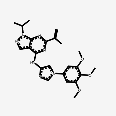 C=C(C)c1nc(Nc2cn(-c3cc(OC)c(OC)c(OC)c3)cn2)c2cnn(C(C)C)c2n1